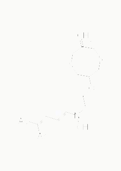 C=C1CSCC(OCCN(C)/C=C/C=C(C(C)=O)C(C)=O)CSC1